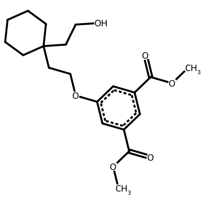 COC(=O)c1cc(OCCC2(CCO)CCCCC2)cc(C(=O)OC)c1